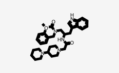 COc1ccccc1CN(CC(Cc1c[nH]c2ccccc12)NC(=O)CN1CCC(N2CCCCC2)CC1)C(C)=O